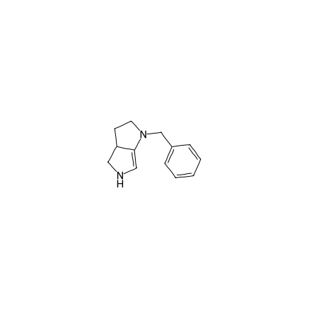 C1=C2C(CCN2Cc2ccccc2)CN1